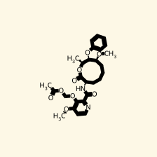 COc1ccnc(C(=O)N[C@H]2CCCC[C@H](OC)[C@@H](Oc3ccccc3)[C@H](C)OC2=O)c1OCOC(C)=O